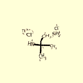 CC(C)(C)[NH-].[Cl-].[Cl-].[SiH4].[Ti+3]